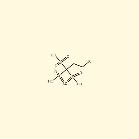 O=S(=O)(O)C(C[CH2][K])(S(=O)(=O)O)S(=O)(=O)O